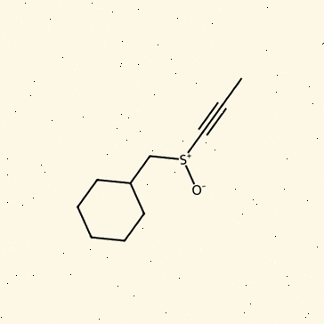 CC#C[S+]([O-])CC1CCCCC1